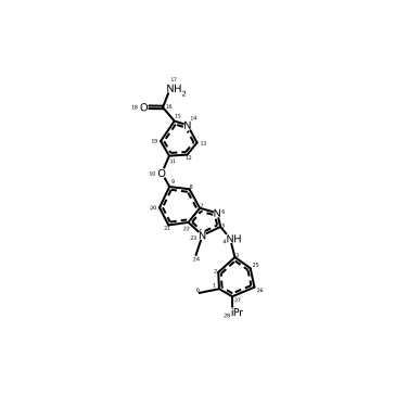 Cc1cc(Nc2nc3cc(Oc4ccnc(C(N)=O)c4)ccc3n2C)ccc1C(C)C